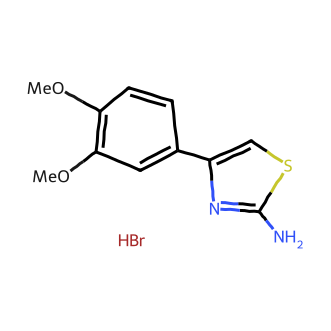 Br.COc1ccc(-c2csc(N)n2)cc1OC